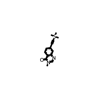 Cn1cnc2cc(C#CS(C)(C)C)ccc2c1=O